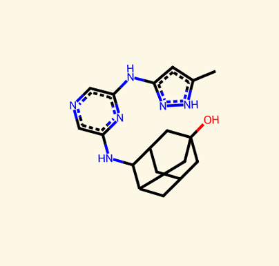 Cc1cc(Nc2cncc(NC3C4CC5CC3CC(O)(C5)C4)n2)n[nH]1